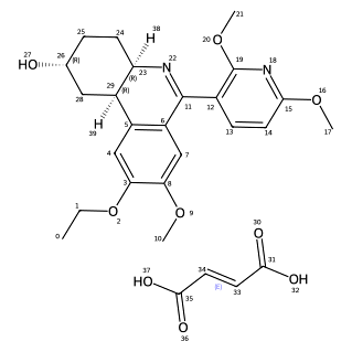 CCOc1cc2c(cc1OC)C(c1ccc(OC)nc1OC)=N[C@@H]1CC[C@@H](O)C[C@H]21.O=C(O)/C=C/C(=O)O